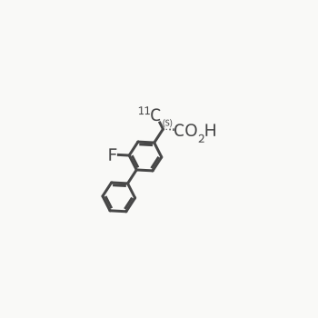 [11CH3][C@H](C(=O)O)c1ccc(-c2ccccc2)c(F)c1